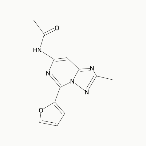 CC(=O)Nc1cc2nc(C)nn2c(-c2ccco2)n1